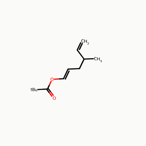 C=CC(C)CC=COC(=O)C(C)(C)C